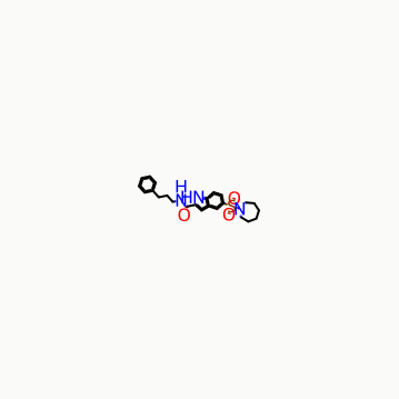 O=C(NCCCc1ccccc1)c1cc2cc(S(=O)(=O)N3CCCCCC3)ccc2[nH]1